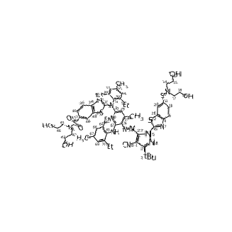 [C-]#[N+]c1c(C(C)(C)C)nn(-c2nc3ccc(SN(CCO)CCO)cc3s2)c1/N=N/c1c(C)cc(N(c2nc3ccc(S(=O)(=O)N(CCO)CCO)cc3s2)c2c(CC)cc(C)cc2CC)nc1Nc1c(CC)cc(C)cc1CC